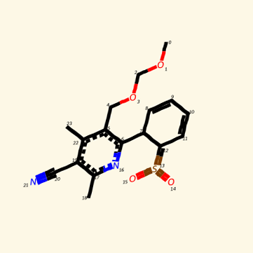 COCOCc1c(C2C=CC=CC2=S(=O)=O)nc(C)c(C#N)c1C